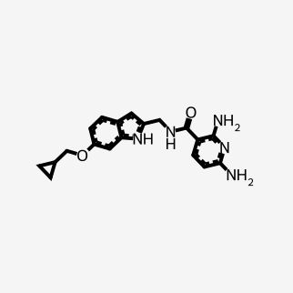 Nc1ccc(C(=O)NCc2cc3ccc(OCC4CC4)cc3[nH]2)c(N)n1